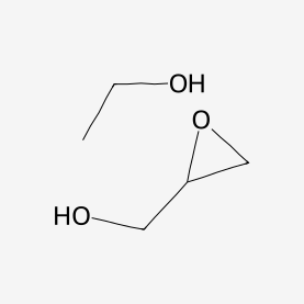 CCO.OCC1CO1